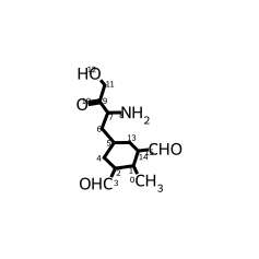 CC1C(C=O)CC(CC(N)C(=O)CO)CC1C=O